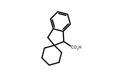 O=C(O)C1c2ccccc2CC12CCCCC2